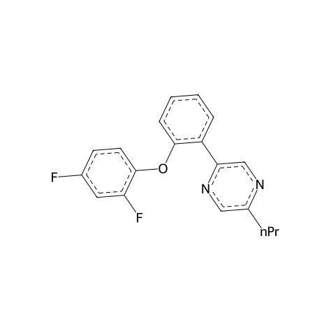 CCCc1cnc(-c2ccccc2Oc2ccc(F)cc2F)cn1